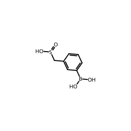 O=S(O)Cc1cccc(B(O)O)c1